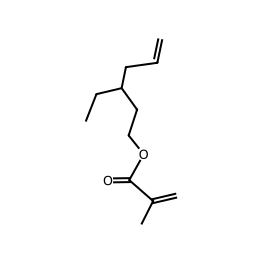 C=CCC(CC)CCOC(=O)C(=C)C